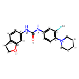 O=C(Nc1ccc(N2CCCCC2)c(F)c1)Nc1ccc2c(c1)OCC2